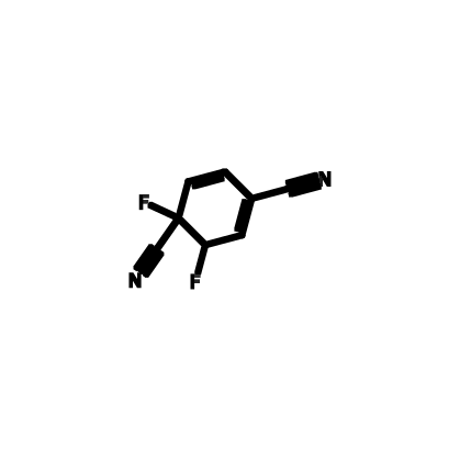 N#CC1=CC(F)C(F)(C#N)C=C1